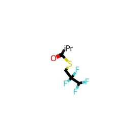 CC(C)C(=O)SCC(F)(F)C(F)F